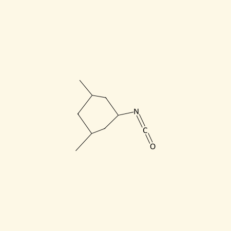 CC1CC(C)CC(N=C=O)C1